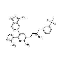 Cc1occc1-c1nc(N)c(OC[C@H](N)Cc2cccc(C(F)(F)F)c2)cc1-c1cc2c(C)n[nH]c2cn1